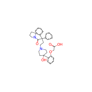 O=C(O)COc1ccccc1C1(O)CCN(CCC(C(=O)N2CCCC2)(c2ccccc2)c2ccccc2)CC1